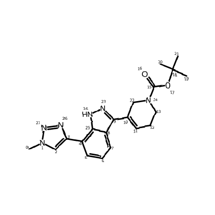 Cn1cc(-c2cccc3c(C4=CCCN(C(=O)OC(C)(C)C)C4)n[nH]c23)nn1